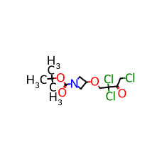 CC(C)(C)OC(=O)N1CC(OCC(Cl)(Cl)C(=O)CCl)C1